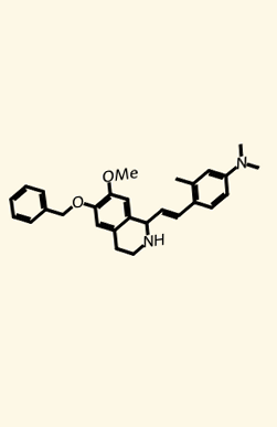 COc1cc2c(cc1OCc1ccccc1)CCNC2/C=C/c1ccc(N(C)C)cc1C